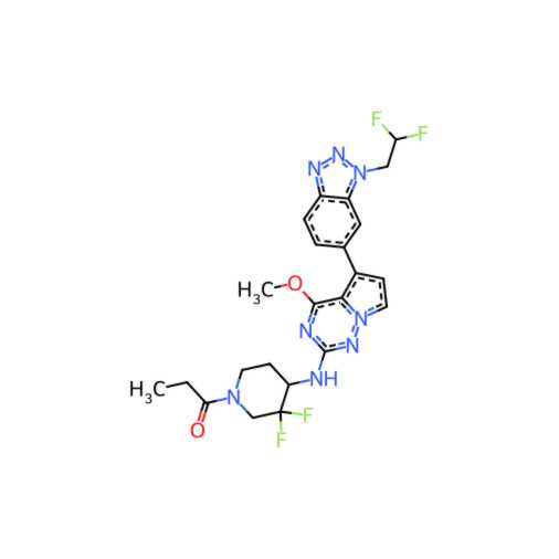 CCC(=O)N1CCC(Nc2nc(OC)c3c(-c4ccc5nnn(CC(F)F)c5c4)ccn3n2)C(F)(F)C1